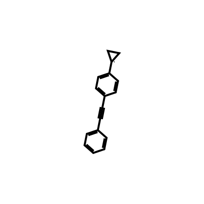 C(#Cc1ccc([C]2CC2)cc1)c1ccccc1